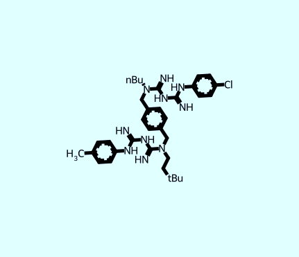 CCCCN(Cc1ccc(CN(CCC(C)(C)C)C(=N)NC(=N)Nc2ccc(C)cc2)cc1)C(=N)NC(=N)Nc1ccc(Cl)cc1